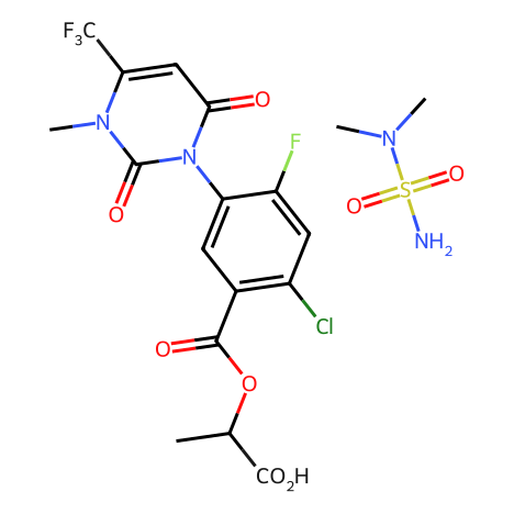 CC(OC(=O)c1cc(-n2c(=O)cc(C(F)(F)F)n(C)c2=O)c(F)cc1Cl)C(=O)O.CN(C)S(N)(=O)=O